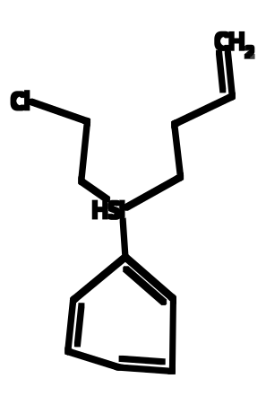 C=CCC[SiH](CCCl)c1ccccc1